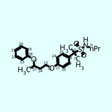 CCCNS(=O)(=O)C(C)(C)c1ccc(OCCC(C)Oc2ccccc2)cc1